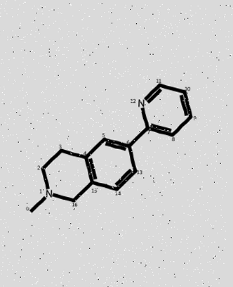 CN1CCc2cc(-c3ccccn3)ccc2C1